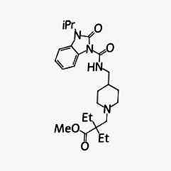 CCC(CC)(CN1CCC(CNC(=O)n2c(=O)n(C(C)C)c3ccccc32)CC1)C(=O)OC